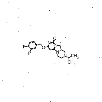 CC(C)N1CCN2c3cc(OCc4ccc(F)c(F)c4)nc(=O)n3CC2C1